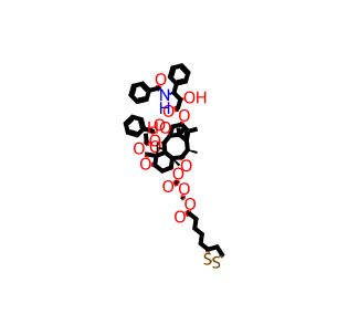 CC(=O)O[C@@]12COC1C[C@H](OC(=O)OCOC(=O)CCCCC1CCSS1)[C@@]1(C)C(=O)[C@H](C)C3=C(C)C(OC(=O)[C@H](O)[C@@H](NC(=O)c4ccccc4)c4ccccc4)C[C@@](O)([C@@H](OC(=O)c4ccccc4)[C@@H]12)C3(C)C